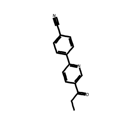 CCC(=O)c1ccc(-c2ccc(C#N)cc2)nc1